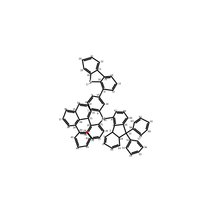 C1=CC2c3c(N(c4cccc(-c5cccc6c5sc5ccccc56)c4)c4ccccc4-c4cccc5cccc(-c6ccccc6)c45)cccc3C(c3ccccc3)(c3ccccc3)C2C=C1